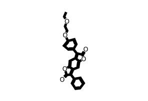 CCOCCOc1ccc(C2=c3cc4c(cc3OC2=O)=C(c2ccccc2)C(=O)O4)cc1